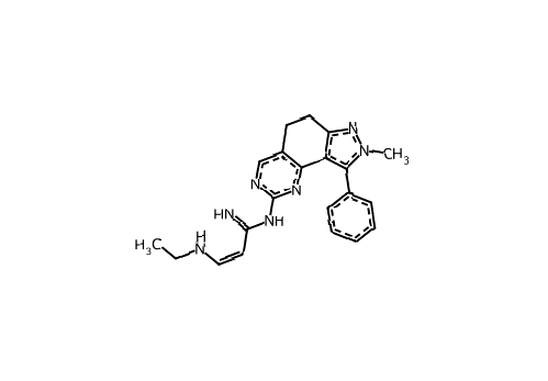 CCN/C=C\C(=N)Nc1ncc2c(n1)-c1c(nn(C)c1-c1ccccc1)CC2